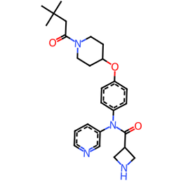 CC(C)(C)CC(=O)N1CCC(Oc2ccc(N(C(=O)C3CNC3)c3cccnc3)cc2)CC1